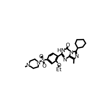 CCOc1cc(S(=O)(=O)N2CCN(C)CC2)ccc1-c1nc2c(C)nc(C3CCCCC3)n2c(=O)[nH]1